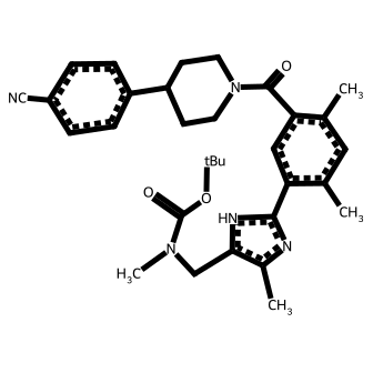 Cc1cc(C)c(-c2nc(C)c(CN(C)C(=O)OC(C)(C)C)[nH]2)cc1C(=O)N1CCC(c2ccc(C#N)cc2)CC1